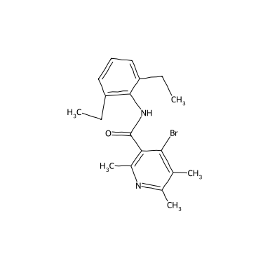 CCc1cccc(CC)c1NC(=O)c1c(C)nc(C)c(C)c1Br